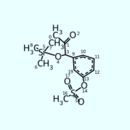 CC(=O)C(O[Si](C)(C)C)c1cccc(OS(C)(=O)=O)c1